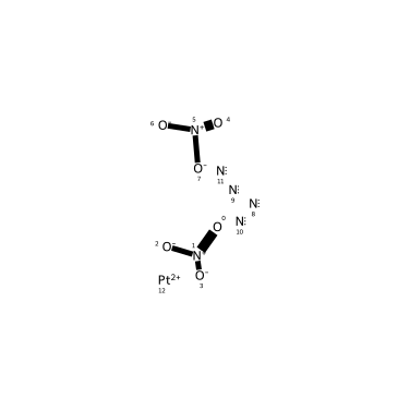 O=[N+]([O-])[O-].O=[N+]([O-])[O-].[N].[N].[N].[N].[Pt+2]